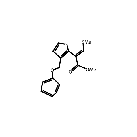 COC(=O)/C(=C/SC)c1sccc1COc1ccccc1